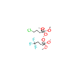 CO[Si](CCC(F)(F)F)(OC)OC.CO[Si](CCCCl)(OC)OC